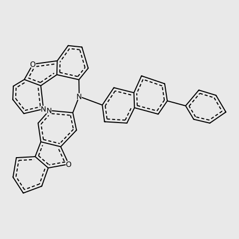 c1ccc(-c2ccc3cc(N(c4cc5oc6ccccc6c5cn4)c4cccc5oc6cccnc6c45)ccc3c2)cc1